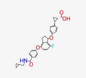 O=C(NCC1CC1)c1ccc(Oc2ccc(F)c3c2CC[C@H]3Oc2ccc([C@H]3C[C@@H]3C(=O)O)cc2)cc1